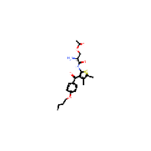 CCCCOc1ccc(C(=O)c2c(NC(=O)[C@@H](N)COC(C)=O)sc(C)c2C)cc1